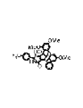 COC1=CCC(C)([C@@]23Oc4cc(OC)cc(OC)c4[C@]2(O)c2nc(-c4ccc(C(F)(F)F)cc4)[nH]c(=O)c2[C@H]3c2ccccc2)C=C1